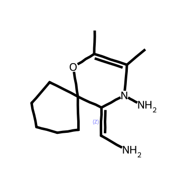 CC1=C(C)N(N)/C(=C\N)C2(CCCCC2)O1